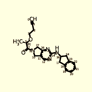 C#CCCO[C@H](C)C(=O)N1Cc2cnc(NC3Cc4ccccc4C3)nc2C1